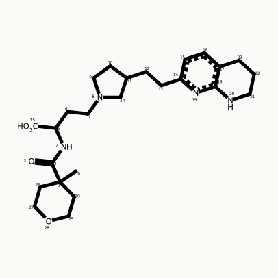 CC1(C(=O)NC(CCN2CCC(CCc3ccc4c(n3)NCCC4)C2)C(=O)O)CCOCC1